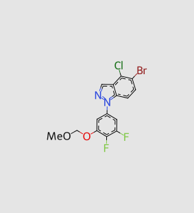 COCOc1cc(-n2ncc3c(Cl)c(Br)ccc32)cc(F)c1F